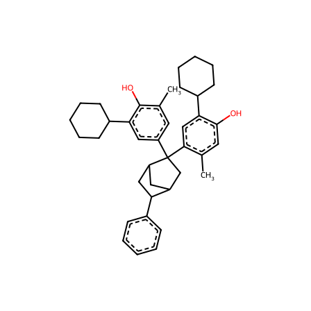 Cc1cc(O)c(C2CCCCC2)cc1C1(c2cc(C)c(O)c(C3CCCCC3)c2)CC2CC1CC2c1ccccc1